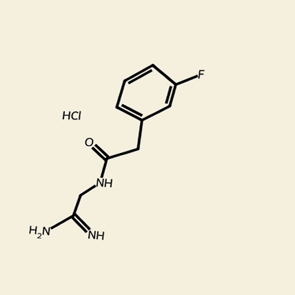 Cl.N=C(N)CNC(=O)Cc1cccc(F)c1